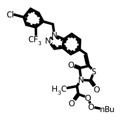 CCCCOOC(=O)C(C)N1C(=O)SC(=Cc2ccc3c(cnn3Cc3ccc(Cl)cc3C(F)(F)F)c2)C1=O